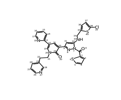 O=C(c1cccs1)n1nc(-c2cc(-c3ccccn3)cn(CCc3cccnc3)c2=O)cc1NCc1ccc(Cl)s1